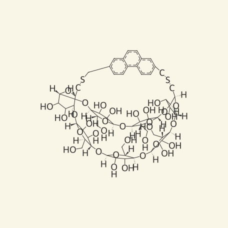 OC[C@H]1O[C@@H]2O[C@H]3C(O)C(O)[C@@H]4O[C@@H]3CSCc3ccc5c(ccc6cc(ccc65)CSC[C@H]5O[C@H](O[C@H]6C(O)C(O)[C@H](O[C@@H]6CO)O[C@H]6C(O)C(O)[C@H](O[C@@H]6CO)O[C@H]1C(O)C2O)[C@@H](O)C(O)[C@@H]5O[C@@H]1O[C@H](CO)[C@@H](O[C@H]2O[C@H](CO)[C@@H](O4)C(O)C2O)C(O)C1O)c3